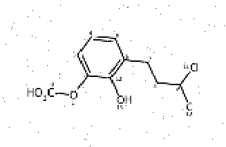 O=C(O)Oc1cccc(CCC(Cl)Cl)c1O